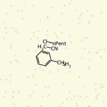 CC#N.CCCCCCl.Cc1ccccc1.S